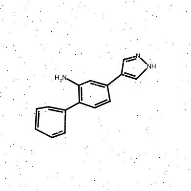 Nc1cc(-c2cn[nH]c2)ccc1-c1ccccc1